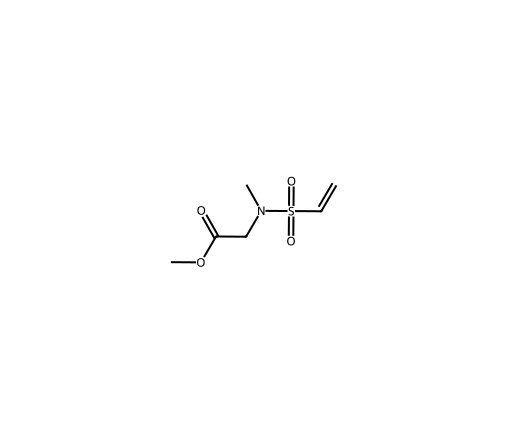 C=CS(=O)(=O)N(C)CC(=O)OC